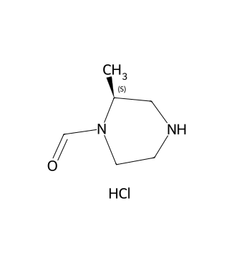 C[C@H]1CNCCN1C=O.Cl